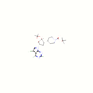 CC(C)(C)OC(=O)N1CCC([C@H]2C[C@@H](n3cc(Br)c4c(Cl)nc(Cl)nc43)[C@@H]3OC(C)(C)O[C@@H]32)CC1